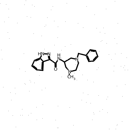 CN1CCN(Cc2ccccc2)CC(NC(=O)c2n[nH]c3ccccc23)C1